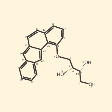 OC[C@@H](O)[C@H](O)COc1cccc2ccc3cc4ccccc4cc3c12